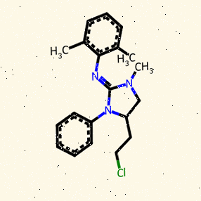 Cc1cccc(C)c1N=C1N(C)CC(CCCl)N1c1ccccc1